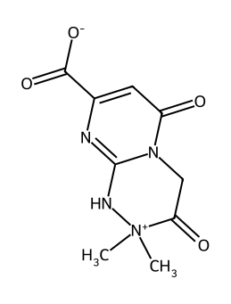 C[N+]1(C)Nc2nc(C(=O)[O-])cc(=O)n2CC1=O